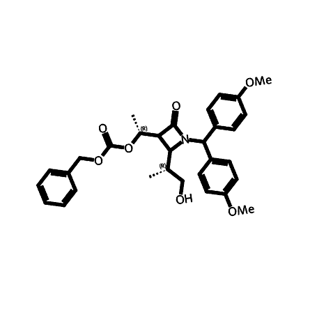 COc1ccc(C(c2ccc(OC)cc2)N2C(=O)C([C@@H](C)OC(=O)OCc3ccccc3)C2[C@@H](C)CO)cc1